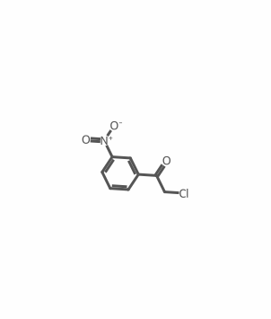 O=C(CCl)c1cccc([N+](=O)[O-])c1